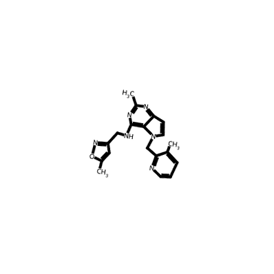 Cc1nc(NCc2cc(C)on2)c2c(ccn2Cc2ncccc2C)n1